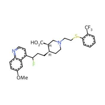 COc1ccc2nccc(C(F)CC[C@@H]3CCN(CCSc4ccccc4C(F)(F)F)C[C@@H]3C(=O)O)c2c1